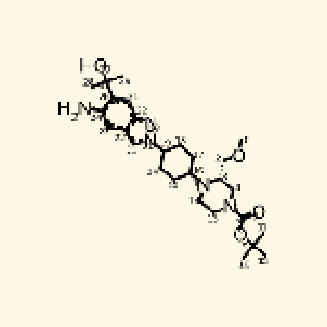 COC[C@@H]1CN(C(=O)OC(C)(C)C)CCN1C1CCC(n2cc3cc(N)c(C(C)(C)O)cc3n2)CC1